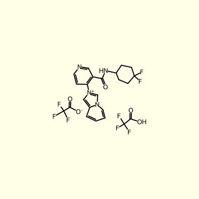 O=C(NC1CCC(F)(F)CC1)c1cnccc1-[n+]1cc2ccccn2c1.O=C(O)C(F)(F)F.O=C([O-])C(F)(F)F